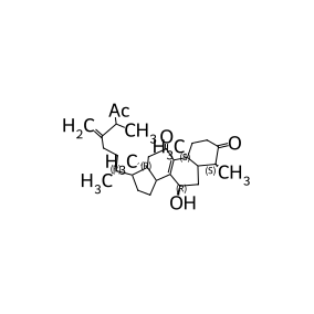 C=C(CC[C@@H](C)C1CCC2C3=C(C(=O)C[C@@]21C)[C@@]1(C)CCC(=O)[C@@H](C)C1C[C@H]3O)C(C)C(C)=O